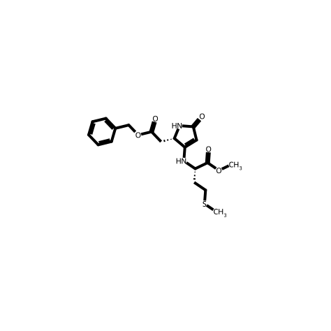 COC(=O)[C@H](CCSC)NC1=CC(=O)N[C@H]1CC(=O)OCc1ccccc1